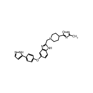 Cc1noc(C2CCN(Cc3nc4cc(Oc5ccc(-c6ccn[nH]6)cc5)ccc4[nH]3)CC2)n1